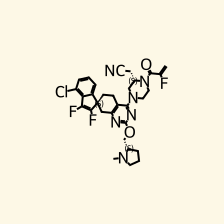 C=C(F)C(=O)N1CCN(c2nc(OC[C@@H]3CCCN3C)nc3c2CC[C@@]2(C3)C(F)=C(F)c3c(Cl)cccc32)C[C@@H]1CC#N